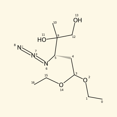 CCOC(C[C@H](N=[N+]=[N-])C(C)(O)CO)OCC